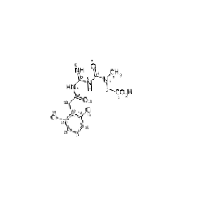 CN(CC(=O)O)C(=O)NC(=N)NC(=O)Cc1c(Cl)cccc1Cl